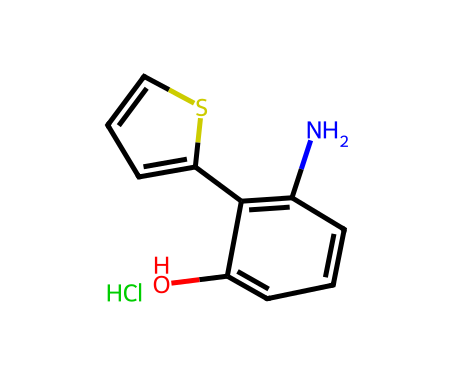 Cl.Nc1cccc(O)c1-c1cccs1